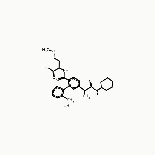 CSCCC(NC(=O)c1ccc(C(C)C(=O)NC2CCCCC2)cc1-c1ccccc1C)C(=O)O.[LiH]